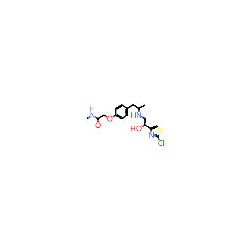 CNC(=O)COc1ccc(CC(C)NCC(O)c2csc(Cl)n2)cc1